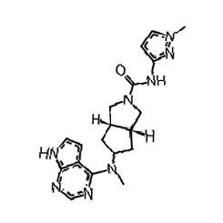 CN(c1ncnc2[nH]ccc12)C1C[C@@H]2CN(C(=O)Nc3ccn(C)n3)C[C@@H]2C1